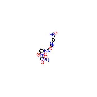 CC(=O)N[C@@H](C)c1ccc(-c2ncc(OCCCNc3cccc4c3C(=O)N(C3CCC(=O)NC3=O)C4=O)cn2)cc1